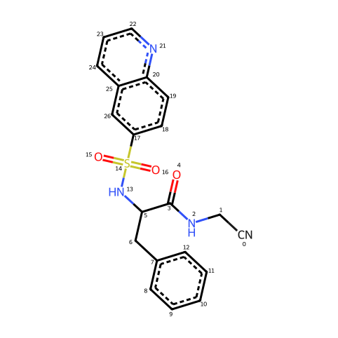 N#CCNC(=O)C(Cc1ccccc1)NS(=O)(=O)c1ccc2ncccc2c1